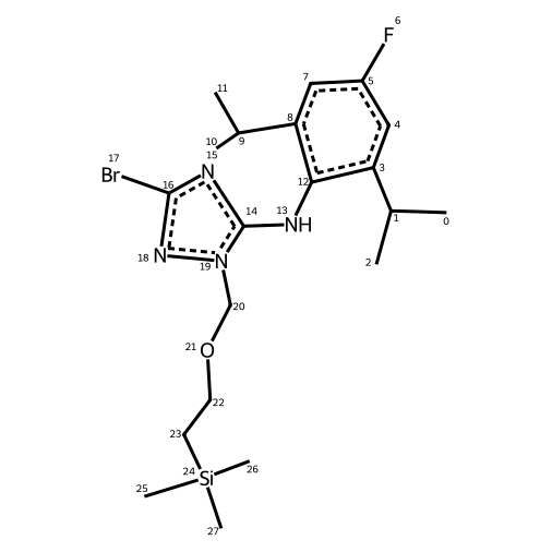 CC(C)c1cc(F)cc(C(C)C)c1Nc1nc(Br)nn1COCC[Si](C)(C)C